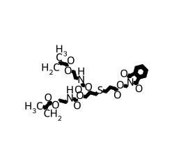 C=C(C)C(=O)OCCNC(=O)OCC(CSCCC(=O)OCN1C(=O)c2ccccc2C1=O)OC(=O)NCCOC(=O)C(=C)C